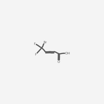 O=C(O)C=CC(F)(F)Br